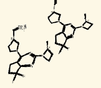 C[C@H]1CCN1c1nc(N2CC[C@@H](CC(=O)O)C2)c2c(n1)C(F)(F)CC2.C[C@H]1CCN1c1nc(N2CC[C@H](CC(=O)O)C2)c2c(n1)C(F)(F)CC2